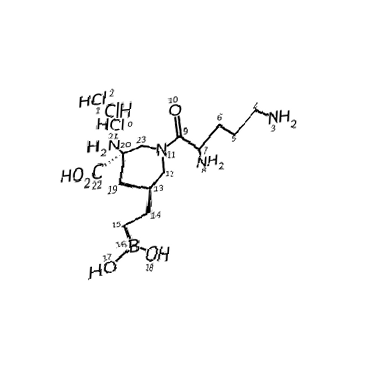 Cl.Cl.Cl.NCCCC(N)C(=O)N1C[C@@H](CCB(O)O)C[C@](N)(C(=O)O)C1